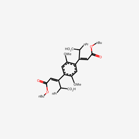 CCCCOC(=O)C=C(c1cc(OC)c(C(=CC(=O)OCCCC)C(CCC)C(=O)O)cc1OC)C(CCC)C(=O)O